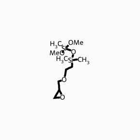 CO[Si](C)(OC)O[Si](C)(C)CCOCC1CO1